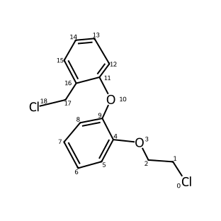 ClCCOc1ccccc1Oc1ccccc1CCl